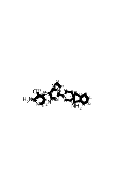 Nc1nccc(Sc2c(N)nc(N3CCC4(CC3)Cc3ccccc3[C@H]4N)n3ccnc23)c1Cl